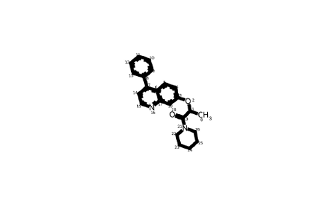 CC(Oc1ccc2c(-c3ccccc3)ccnc2c1)C(=O)N1CCCCC1